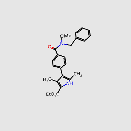 CCOC(=O)c1[nH]c(C)c(-c2ccc(C(=O)N(Cc3ccccc3)OC)cc2)c1C